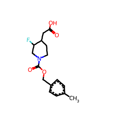 Cc1ccc(COC(=O)N2CCC(CC(=O)O)C(F)C2)cc1